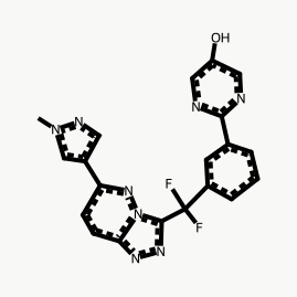 Cn1cc(-c2ccc3nnc(C(F)(F)c4cccc(-c5ncc(O)cn5)c4)n3n2)cn1